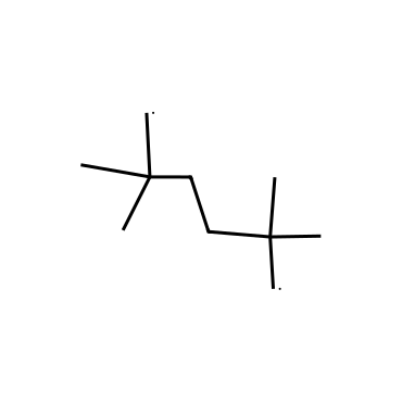 [CH2]C(C)(C)CCC([CH2])(C)C